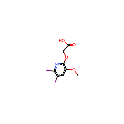 COc1cc(I)c(I)nc1OCC(=O)O